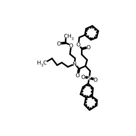 CCCCCN(CCOC(C)=O)C(=O)C(CCC(=O)OCc1ccccc1)CS(=O)(=O)c1ccc2ccccc2c1